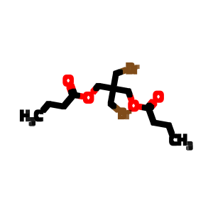 CCCC(=O)OCC(CBr)(CBr)COC(=O)CCC